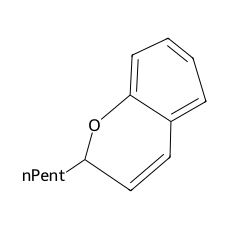 [CH2]CCCCC1C=Cc2ccccc2O1